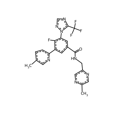 Cc1ccc(-c2cc(C(=O)NCc3cnc(C)cn3)cc(-n3ncnc3C(F)(F)F)c2F)nc1